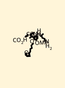 COc1cc(NC(C)CCCN)c2nccc(C)c2c1OCCCCCc1ccco1.O=C(O)C=CC(=O)O